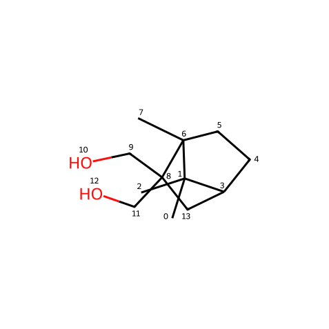 CC1(C)C2CCC1(C)C(CO)(CO)C2